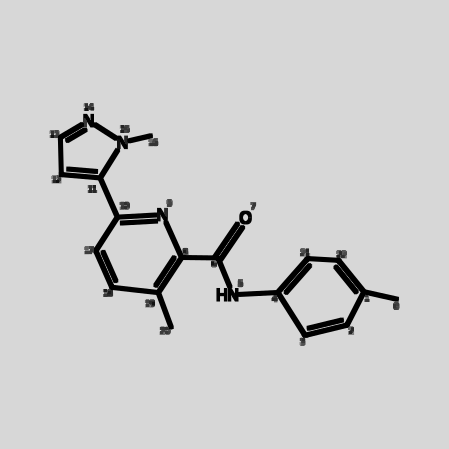 Cc1ccc(NC(=O)c2nc(-c3ccnn3C)ccc2C)cc1